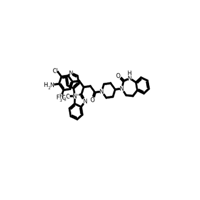 C[N+]1(c2ccncc2)C(C(CC(=O)N2CCC(N3CCc4ccccc4NC3=O)CC2)Cc2cc(Cl)c(N)c(C(F)(F)F)c2)=Nc2ccccc21